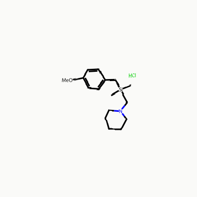 COc1ccc(C[Si](C)(C)CN2CCCCC2)cc1.Cl